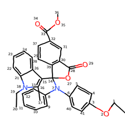 CCOc1ccc(N(c2ccccc2)C2(c3c(C)n(CC)c4ccccc34)OC(=O)c3cc(C(=O)OC)ccc32)cc1